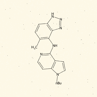 CCCCn1ccc2c(Nc3c(C)ccc4[nH]nnc34)nccc21